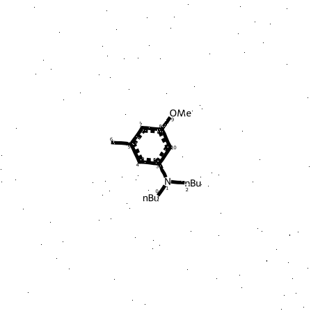 CCCCN(CCCC)c1cc(C)cc(OC)c1